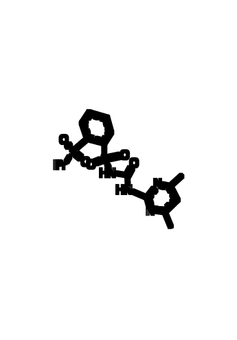 Cc1cc(C)nc(NC(=O)NS(=O)(=O)c2ccccc2S(=O)(=O)C(C)C)n1